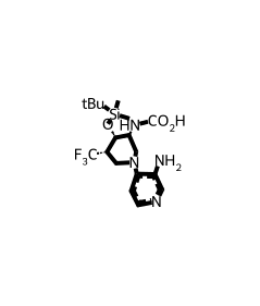 CC(C)(C)[Si](C)(C)O[C@@H]1[C@H](NC(=O)O)CN(c2ccncc2N)C[C@@H]1C(F)(F)F